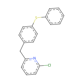 Clc1cccc(Cc2ccc(Sc3ccccc3)cc2)n1